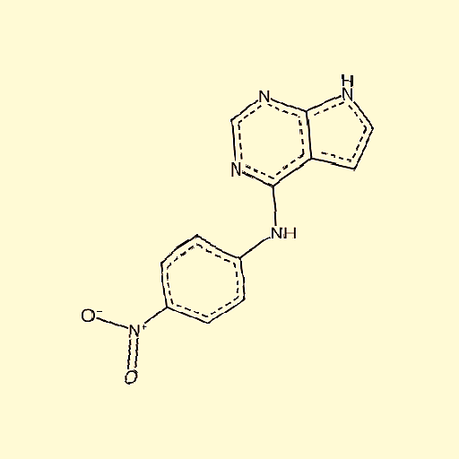 O=[N+]([O-])c1ccc(Nc2ncnc3[nH]ccc23)cc1